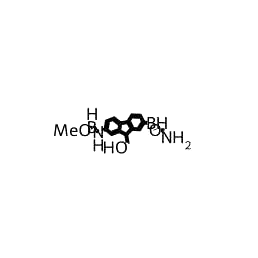 COBNc1ccc2c(c1)C(CO)c1cc(BOCN)ccc1-2